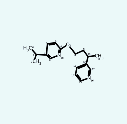 CC(C)c1ccc(OCCC(C)c2cccnc2)nc1